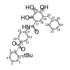 CC(C)(C)c1ccccc1S(=O)(=O)c1ccc(NC(=O)c2cc(Cc3ccccc3)c(O)c(O)c2O)cc1